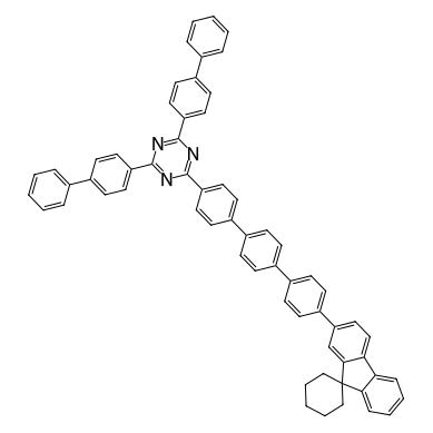 c1ccc(-c2ccc(-c3nc(-c4ccc(-c5ccccc5)cc4)nc(-c4ccc(-c5ccc(-c6ccc(-c7ccc8c(c7)C7(CCCCC7)c7ccccc7-8)cc6)cc5)cc4)n3)cc2)cc1